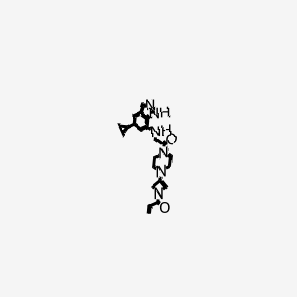 C=CC(=O)N1CC(N2CCN(C(=O)CNc3cc(C4CC4)cc4cn[nH]c34)CC2)C1